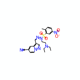 CCN(CC)CCN(/N=C\c1cnn2ccc(C#N)cc12)S(=O)(=O)c1cc([N+](=O)[O-])ccc1C